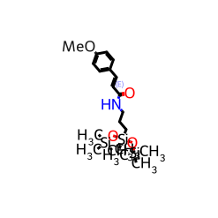 COc1ccc(/C=C/C(=O)NCCC[Si](C)(O[Si](C)(C)C)O[Si](C)(C)C)cc1